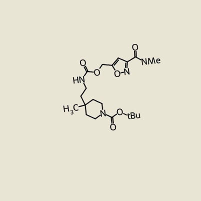 CNC(=O)c1cc(COC(=O)NCCC2(C)CCN(C(=O)OC(C)(C)C)CC2)on1